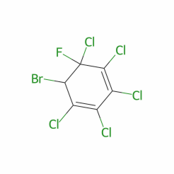 FC1(Cl)C(Cl)=C(Cl)C(Cl)=C(Cl)C1Br